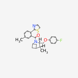 Cc1ccc(-c2nccs2)c(C(=O)N2C3CC(C3)[C@@H](C)[C@H]2COc2ccc(F)cc2)c1